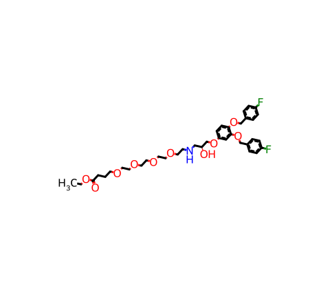 CCOC(=O)CCCOCCOCCOCCOCCNC[C@@H](O)COc1ccc(OCc2ccc(F)cc2)c(OCc2ccc(F)cc2)c1